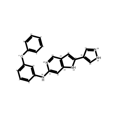 c1ccc(Oc2cccc(Nc3cc4[nH]c(-c5cn[nH]c5)cc4cn3)c2)cc1